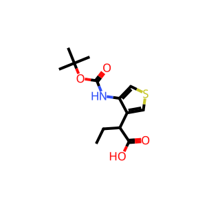 CCC(C(=O)O)c1cscc1NC(=O)OC(C)(C)C